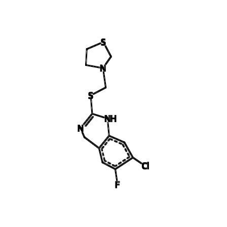 Fc1cc2c(cc1Cl)NC(SCN1CCSC1)=NC2